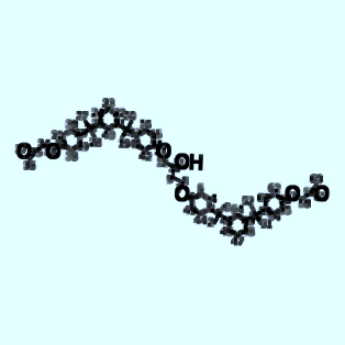 CC(C)(c1ccc(OCCC(O)COc2ccc(C(C)(C)c3cccc(C(C)(C)c4ccc(OCC5CO5)cc4)c3)cc2)cc1)c1cccc(C(C)(C)c2ccc(OCC3CO3)cc2)c1